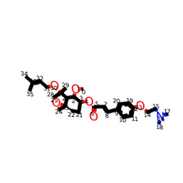 COC1C(OC(=O)/C=C/c2ccc(OCCN(C)C)cc2)CC[C@]2(CO2)C1C(C)(C)OCC=C(C)C